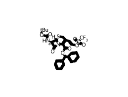 CC(C)(C)OC(=O)N[C@@H]1C(=O)N2C(C(=O)OC(c3ccccc3)c3ccccc3)=C(C=COS(=O)(=O)C(F)(F)F)CS[C@@H]12